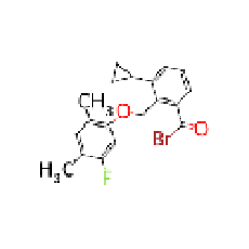 Cc1cc(C)c(OCc2c(C(=O)Br)cccc2C2CC2)cc1F